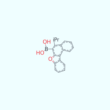 CC(C)c1c(B(O)O)c2oc3ccccc3c2c2ccccc12